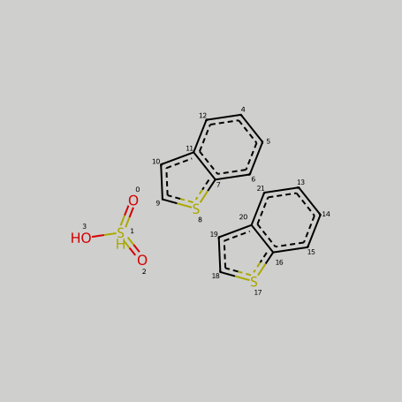 O=[SH](=O)O.c1ccc2sccc2c1.c1ccc2sccc2c1